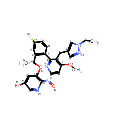 CCn1cc(Cc2c(OC)ccnc2-c2ccc(F)cc2[C@@H](C)Oc2cc(Br)cnc2N=O)cn1